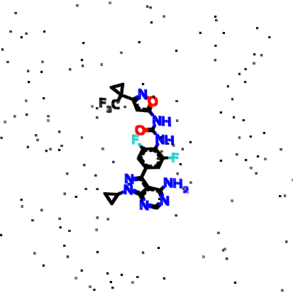 Nc1ncnc2c1c(-c1cc(F)c(NC(=O)Nc3cc(C4(C(F)(F)F)CC4)no3)c(F)c1)nn2C1CC1